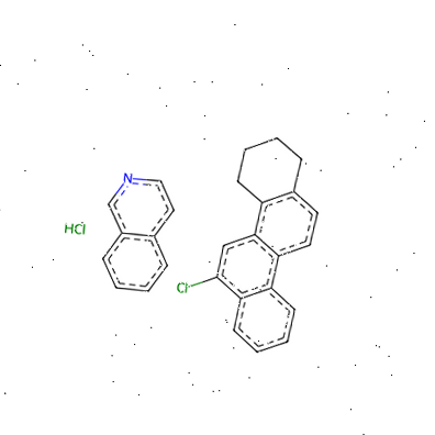 Cl.Clc1cc2c3c(ccc2c2ccccc12)CCCC3.c1ccc2cnccc2c1